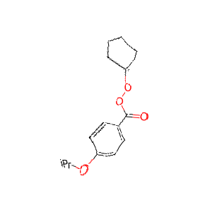 CC(C)Oc1ccc(C(=O)OO[C]2CCCC2)cc1